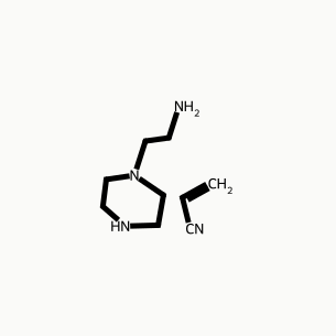 C=CC#N.NCCN1CCNCC1